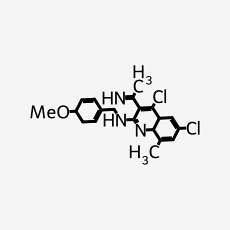 COC1C=CC(CNC2=NC3C(C)=CC(Cl)=CC3C(Cl)=C2C(C)=N)=CC1